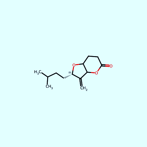 C=C1C2OC(=O)CCC2O[C@H]1CCC(C)C